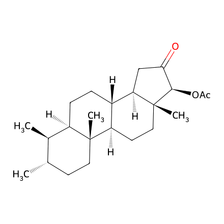 CC(=O)O[C@@H]1C(=O)C[C@@H]2[C@H]3CC[C@@H]4[C@H](C)[C@@H](C)CC[C@@]4(C)[C@@H]3CC[C@@]12C